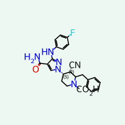 N#C[C@@H]1C(Cc2ccccc2)N(C(=O)O)CC[C@@H]1n1cc(C(N)=O)c(Nc2ccc(F)cc2)n1